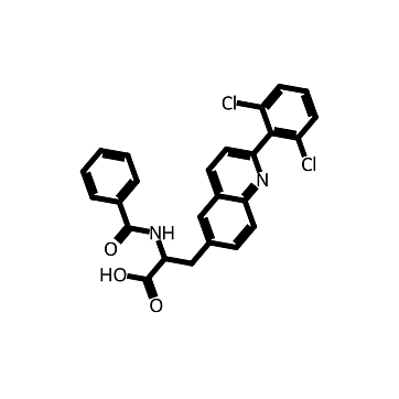 O=C(NC(Cc1ccc2nc(-c3c(Cl)cccc3Cl)ccc2c1)C(=O)O)c1ccccc1